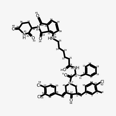 Cc1cc(/C=C2\CN(C(=O)[C@@H](Cc3ccccc3)NC(=O)CCCCCNc3cccc4c3C(=O)N(C3CCC(=O)NC3=O)C4=O)C/C(=C\c3ccc(Cl)c(Cl)c3)C2=O)ccc1Cl